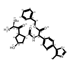 Cc1ncsc1-c1ccc([C@@H](NC(=O)[C@@H]2C[C@@H](O)CC2C(=O)[C@@H](N)C(C)(C)C)C(=O)OCc2ccccc2)cc1